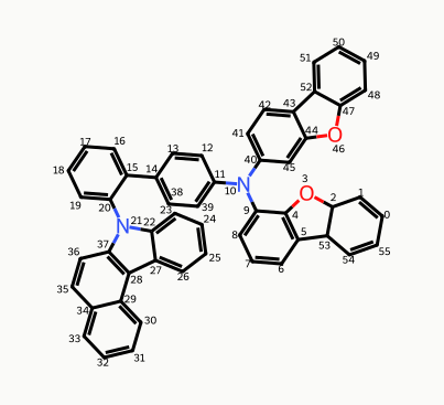 C1=CC2Oc3c(cccc3N(c3ccc(-c4ccccc4-n4c5ccccc5c5c6ccccc6ccc54)cc3)c3ccc4c(c3)oc3ccccc34)C2C=C1